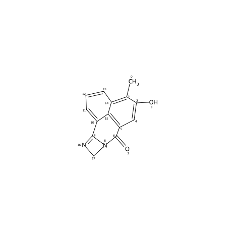 Cc1c(O)cc2c(=O)n3c(c4cccc1c24)=NC3